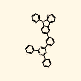 c1ccc(-c2nc(-c3ccccc3)nc(-c3cccc(-c4ccc5c(c4)c4cccnc4n5-c4ccccn4)c3)n2)cc1